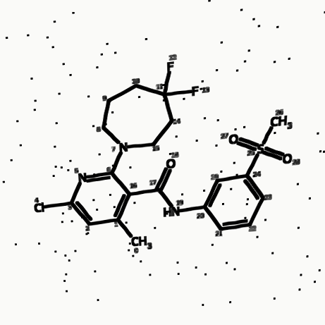 Cc1cc(Cl)nc(N2CCCC(F)(F)CC2)c1C(=O)Nc1cccc(S(C)(=O)=O)c1